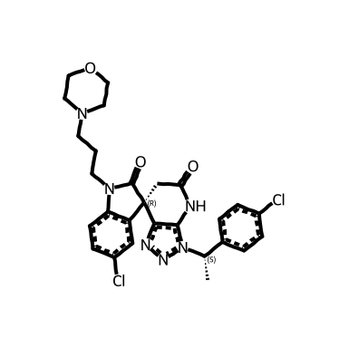 C[C@@H](c1ccc(Cl)cc1)n1nnc2c1NC(=O)C[C@]21C(=O)N(CCCN2CCOCC2)c2ccc(Cl)cc21